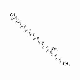 CCCCCC=C(O)CCCCCCCCCCCCCCCCCC